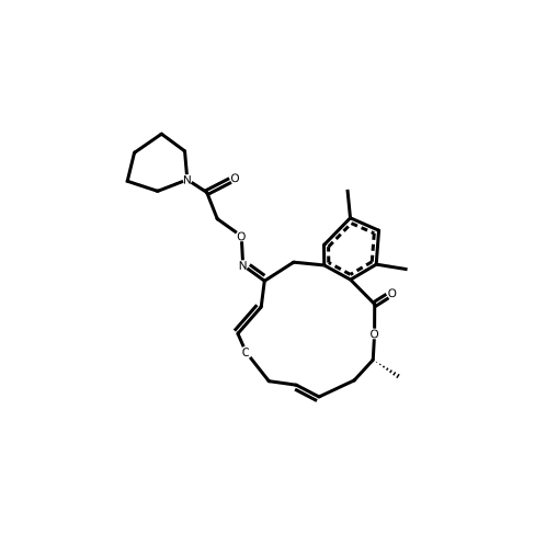 Cc1cc(C)c2c(c1)CC(=NOCC(=O)N1CCCCC1)/C=C/CC/C=C/C[C@@H](C)OC2=O